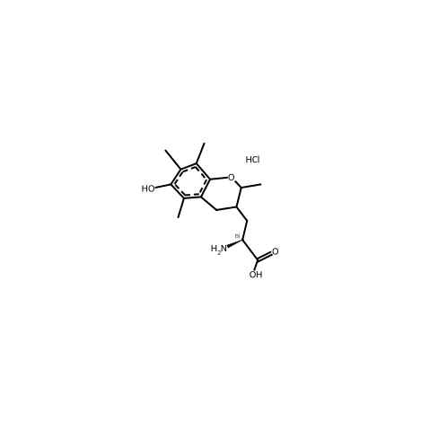 Cc1c(C)c2c(c(C)c1O)CC(C[C@H](N)C(=O)O)C(C)O2.Cl